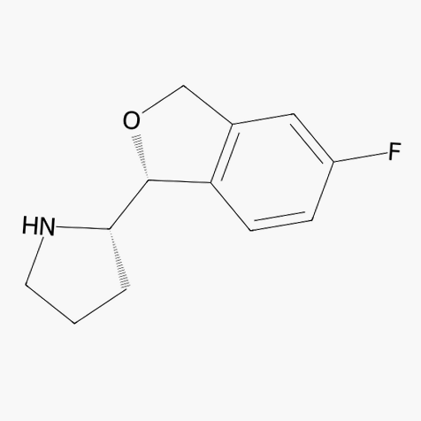 Fc1ccc2c(c1)CO[C@H]2[C@@H]1CCCN1